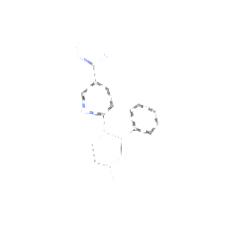 N/C(=N\O)c1ccc(N2CCN(C(=O)O)C[C@@H]2c2ccccc2)nc1